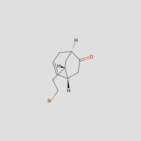 O=C1C[C@@H]2C=CC[C@@H]1C[C@H]2CCBr